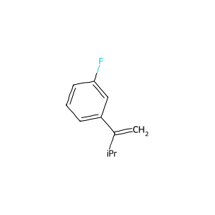 C=C(c1cccc(F)c1)C(C)C